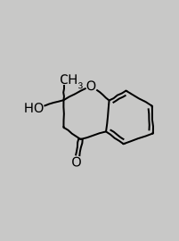 CC1(O)CC(=O)c2ccccc2O1